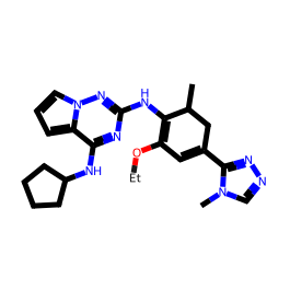 CCOC1=C(Nc2nc(NC3CCCC3)c3cccn3n2)C(C)CC(c2nncn2C)=C1